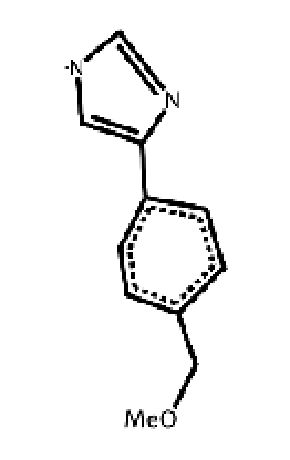 COCc1ccc(C2=C[N]C=N2)cc1